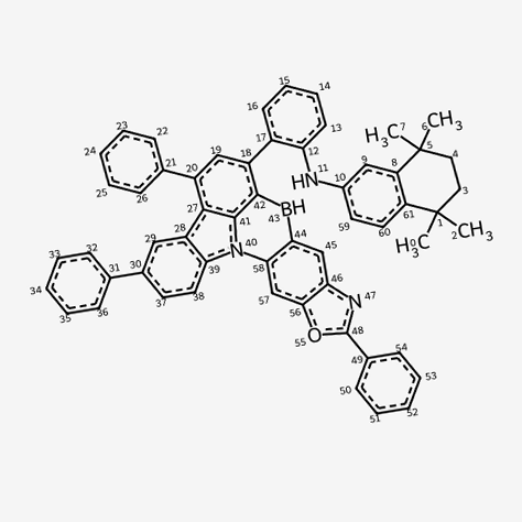 CC1(C)CCC(C)(C)c2cc(Nc3ccccc3-c3cc(-c4ccccc4)c4c5cc(-c6ccccc6)ccc5n5c4c3Bc3cc4nc(-c6ccccc6)oc4cc3-5)ccc21